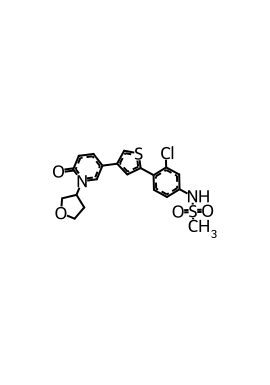 CS(=O)(=O)Nc1ccc(-c2cc(-c3ccc(=O)n(C4CCOC4)c3)cs2)c(Cl)c1